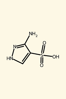 Nc1n[nH]cc1S(=O)(=O)O